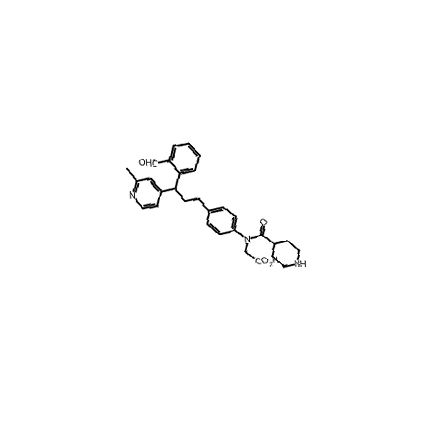 Cc1cc(C(CCc2ccc(N(CC(=O)O)C(=O)C3CCNCC3)cc2)c2ccccc2C=O)ccn1